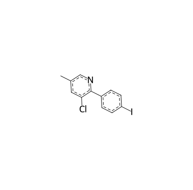 Cc1cnc(-c2ccc(I)cc2)c(Cl)c1